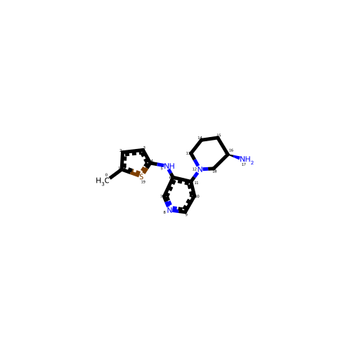 Cc1ccc(Nc2cnccc2N2CCC[C@@H](N)C2)s1